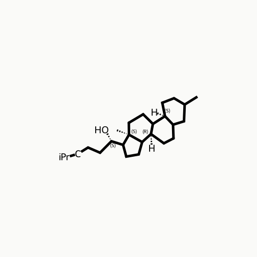 CC(C)CCC[C@H](O)C1CCC2[C@@H]3CCC4CC(C)CC[C@@H]4C3CC[C@@]21C